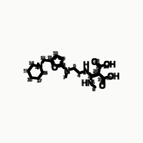 CNC(NCCN(C)c1ccc(CN2CCCCC2)o1)=C(C(=O)O)C(=O)O